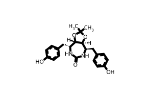 CC1(C)O[C@@H]2[C@@H](O1)[C@@H](Cc1ccc(O)cc1)NC(=O)N[C@@H]2Cc1ccc(O)cc1